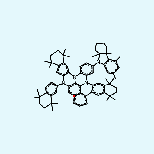 Cc1cc2c3c(c1)N(c1cc4c(cc1-c1ccccc1)C(C)(C)CCC4(C)C)c1cc(N4c5cc(C)cc(C)c5C5(C)CCCCC45C)ccc1B3c1cc3c(cc1N2c1ccc2c(c1)C(C)(C)CCC2(C)C)C(C)(C)CCC3(C)C